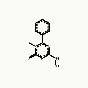 Cn1c(-c2ccccc2)nc(NN)nc1=O